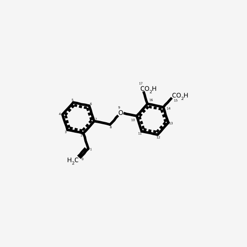 C=Cc1ccccc1COc1cccc(C(=O)O)c1C(=O)O